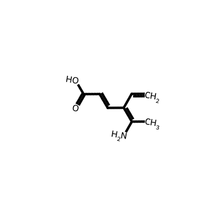 C=CC(/C=C/C(=O)O)=C(\C)N